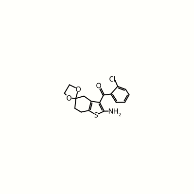 Nc1sc2c(c1C(=O)c1ccccc1Cl)CC1(CC2)OCCO1